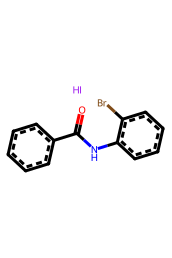 I.O=C(Nc1ccccc1Br)c1ccccc1